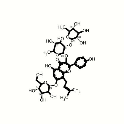 CC(C)=CCc1c(O[C@@H]2OC(CO)[C@@H](O)[C@H](O)C2O)cc(O)c2c(=O)c(O[C@@H]3OC(C)[C@H](O)C(O)[C@@H]3O[C@@H]3OC(C)[C@H](O)C(O)[C@@H]3O)c(-c3ccc(O)cc3)oc12